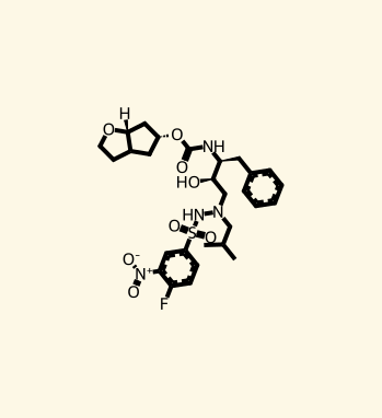 CC(C)CN(C[C@@H](O)[C@H](Cc1ccccc1)NC(=O)O[C@@H]1CC2CCO[C@@H]2C1)NS(=O)(=O)c1ccc(F)c([N+](=O)[O-])c1